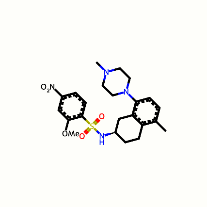 COc1cc([N+](=O)[O-])ccc1S(=O)(=O)N[C@@H]1CCc2c(C)ccc(N3CCN(C)CC3)c2C1